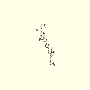 C=CCCOc1ccc(-c2ccc(-c3ccc(C4OCC(C(O)CCC)CO4)c(F)c3)cc2)c(F)c1F